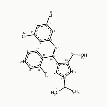 CC(C)n1cc([C@H](Sc2cc(Cl)cc(Cl)c2)c2ccncc2F)c(CO)n1